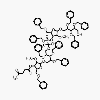 COC1C(OCC(OCc2ccccc2)C(OCc2ccccc2)C(COC(C)(C)P(=O)(OCc2ccccc2)OC2C(COCc3ccccc3)OC(OCC(OCc3ccccc3)C(OCc3ccccc3)C(CO)OCc3ccccc3)C2OC)OCc2ccccc2)OC(COCc2ccccc2)C1OC(=O)CCC(C)=O